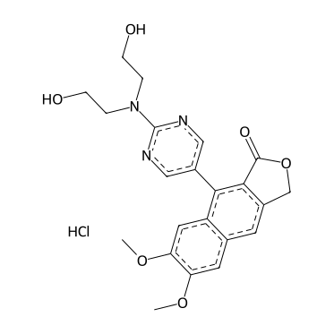 COc1cc2cc3c(c(-c4cnc(N(CCO)CCO)nc4)c2cc1OC)C(=O)OC3.Cl